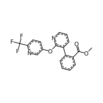 COC(=O)c1ccccc1-c1cccnc1Oc1ccc(C(F)(F)F)nc1